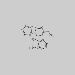 CCc1ccccc1.Cc1ccccc1C.c1ccccc1